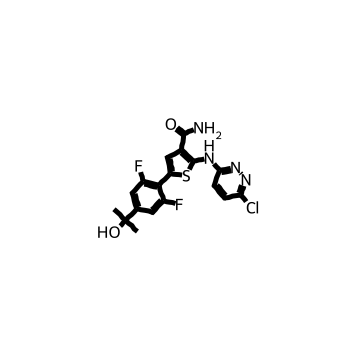 CC(C)(O)c1cc(F)c(-c2cc(C(N)=O)c(Nc3ccc(Cl)nn3)s2)c(F)c1